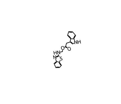 O=C(Cc1c[nH]c2ccccc12)OCNc1nc2ccccc2s1